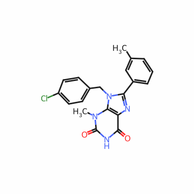 Cc1cccc(-c2nc3c(=O)[nH]c(=O)n(C)c3n2Cc2ccc(Cl)cc2)c1